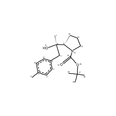 Cc1ccc(C[C@@](C)(O)[C@@H]2CCCN2C(=O)OC(C)(C)C)cc1